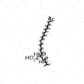 C=C(C)CNC(=O)CCC(NC(=O)CCCCCCCCCCCCCCCCC(C)=O)C(=O)O